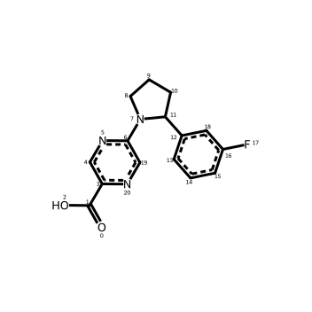 O=C(O)c1cnc(N2CCCC2c2cccc(F)c2)cn1